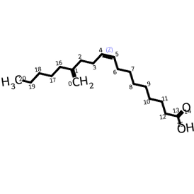 C=C(CC/C=C\CCCCCCCC(=O)O)CCCCC